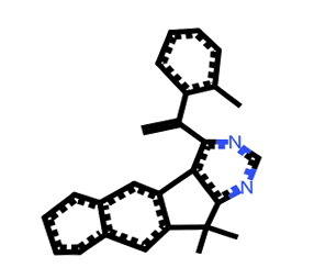 C=C(c1ccccc1C)c1ncnc2c1-c1cc3ccccc3cc1C2(C)C